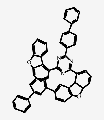 C1=CC2Oc3ccc(-c4cccc(-c5ccccc5)c4)cc3C2C(c2nc(-c3ccc(-c4ccccc4)cc3)nc(-c3cccc4oc5ccccc5c34)n2)=C1